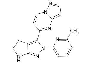 Cc1cccc(-n2nc3c(c2-c2ccn4nccc4n2)CCN3)n1